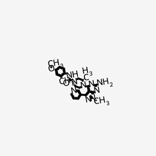 COc1ccc(NC(=O)N2CCN(c3nc(N)nc4c3c(-c3cccnc3)nn4C)[C@@H](C)C2)c(C)c1